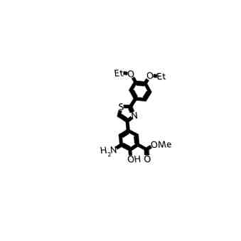 CCOc1ccc(-c2nc(-c3cc(N)c(O)c(C(=O)OC)c3)cs2)cc1OCC